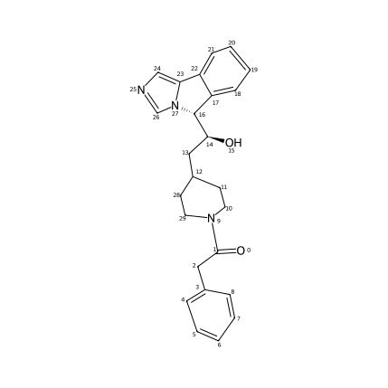 O=C(Cc1ccccc1)N1CCC(C[C@H](O)[C@H]2c3ccccc3-c3cncn32)CC1